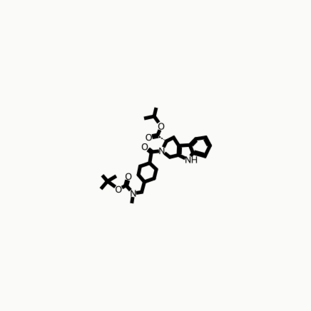 CC(C)OC(=O)[C@@H]1Cc2c([nH]c3ccccc23)CN1C(=O)C1CCC(CN(C)C(=O)OC(C)(C)C)CC1